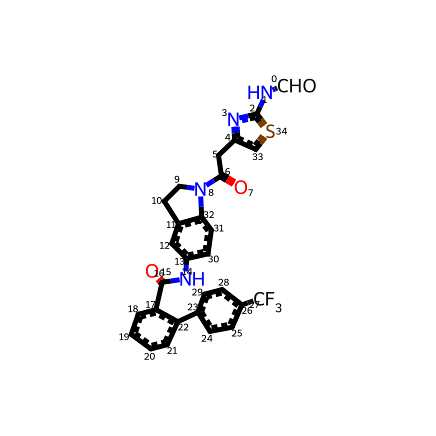 O=CNc1nc(CC(=O)N2CCc3cc(NC(=O)c4ccccc4-c4ccc(C(F)(F)F)cc4)ccc32)cs1